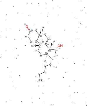 CC(C)CCC[C@@H](C)[C@H]1C[C@@H](O)[C@@H]2C3=CC[C@H]4CC(=O)CC[C@]4(C)[C@H]3CC[C@]12C